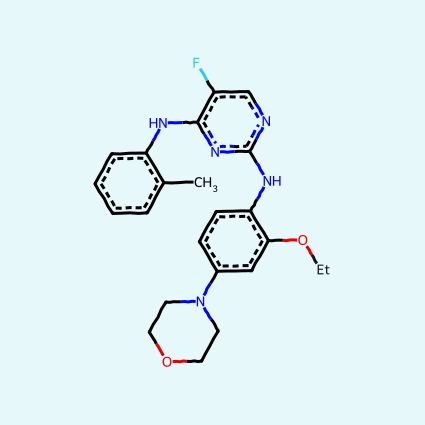 CCOc1cc(N2CCOCC2)ccc1Nc1ncc(F)c(Nc2ccccc2C)n1